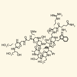 CSCC[C@H](NC(=O)[C@H](CO)NC(=O)[C@H](CC(C)C)NC(=O)[C@H](C)NC(=O)[C@H](CO)NC(=O)[C@H](CC(=O)O)NC(=O)[C@H](CC(C)C)NC(=O)[C@@H](NC(=O)[C@H](Cc1c[nH]c2ccccc12)NC(=O)[C@H](CO)NC(=O)[C@H](CCCNC(=N)N)NC(=O)[C@@H](N)CCC(N)=O)[C@@H](C)O)C(=O)NCC(=O)NCC(=O)N[C@@H](CCC(=O)O)C(=O)N[C@@H](CO)C(=O)O